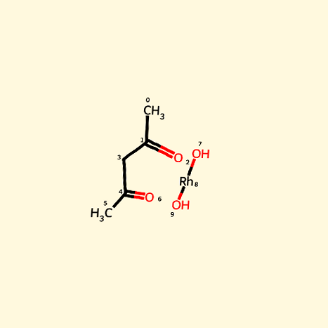 CC(=O)CC(C)=O.[OH][Rh][OH]